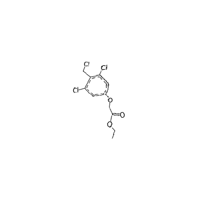 CCOC(=O)COc1cc(Cl)c(CCl)c(Cl)c1